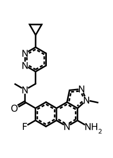 CN(Cc1ccc(C2CC2)nn1)C(=O)c1cc2c(cc1F)nc(N)c1c2cnn1C